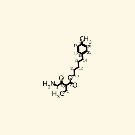 CCC(C(=O)CN)C(=O)OCCCCCc1ccc(C)cc1